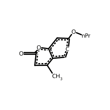 CCCOc1ccc2c(C)cc(=O)oc2c1